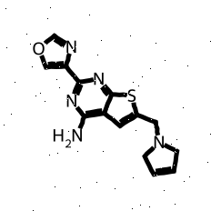 Nc1nc(-c2cocn2)nc2sc(CN3CC=CC3)cc12